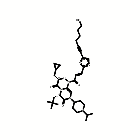 CC(C)N1CCC(N2C=C3N(C(=O)/C=C/c4nc(C#CCCCCO)cs4)O[C@H](CC4CC4)C(=O)N3[C@@H](CC(C)(C)C)C2=O)CC1